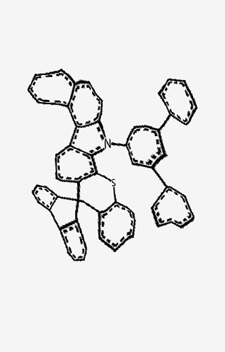 c1ccc(-c2cc(-c3ccccc3)cc(-n3c4ccc5ccccc5c4c4ccc5c(c43)Sc3ccccc3C53c4ccccc4-c4ccccc43)c2)cc1